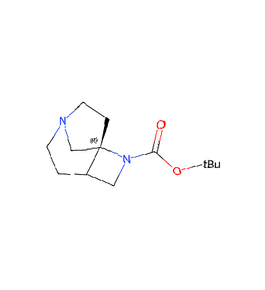 CC(C)(C)OC(=O)N1CC2CCN3CC[C@]21C3